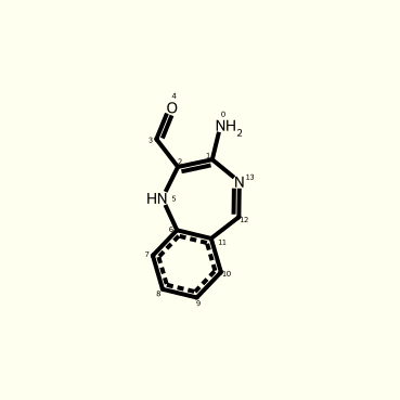 NC1=C(C=O)Nc2ccccc2C=N1